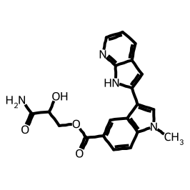 Cn1cc(-c2cc3cccnc3[nH]2)c2cc(C(=O)OCC(O)C(N)=O)ccc21